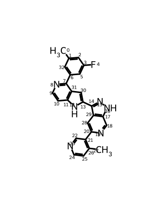 Cc1cc(F)cc(-c2nccc3[nH]c(-c4n[nH]c5cnc(-c6cnccc6C)cc45)cc23)c1